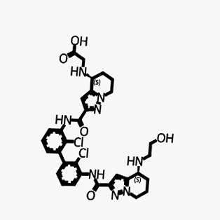 O=C(O)CN[C@H]1CCCn2nc(C(=O)Nc3cccc(-c4cccc(NC(=O)c5cc6n(n5)CCC[C@@H]6NCCO)c4Cl)c3Cl)cc21